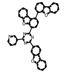 c1cncc(-c2nc(-c3ccc4c(c3)oc3ccccc34)nc(-c3ccc(-c4cccc5c4oc4ccccc45)c4c3oc3ccccc34)n2)c1